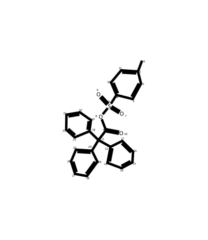 Cc1ccc(S(=O)(=O)OC(=O)C(c2ccccc2)(c2ccccc2)c2ccccc2)cc1